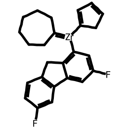 Fc1ccc2c(c1)-c1cc(F)c[c]([Zr]([C]3=CC=CC3)=[C]3CCCCCC3)c1C2